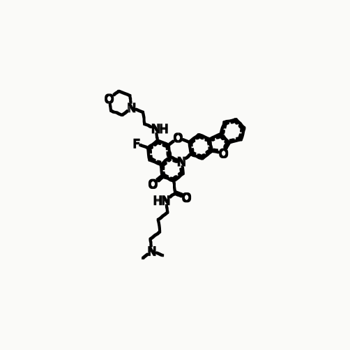 CN(C)CCCCNC(=O)c1cn2c3c(c(NCCN4CCOCC4)c(F)cc3c1=O)Oc1cc3c(cc1-2)oc1ccccc13